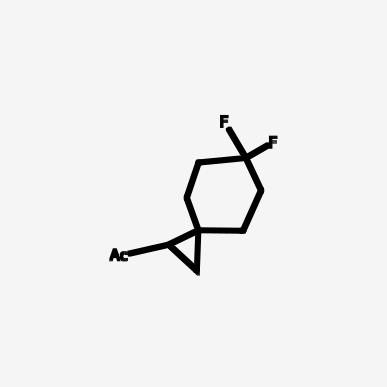 CC(=O)C1CC12CCC(F)(F)CC2